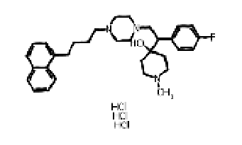 CN1CCC(O)(C(CN2CCN(CCCCc3cccc4ccccc34)CC2)c2ccc(F)cc2)CC1.Cl.Cl.Cl